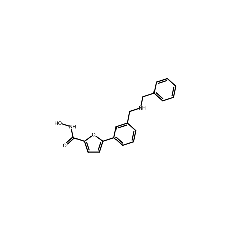 O=C(NO)c1ccc(-c2cccc(CNCc3ccccc3)c2)o1